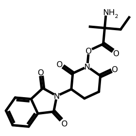 CCC(C)(N)C(=O)ON1C(=O)CCC(N2C(=O)c3ccccc3C2=O)C1=O